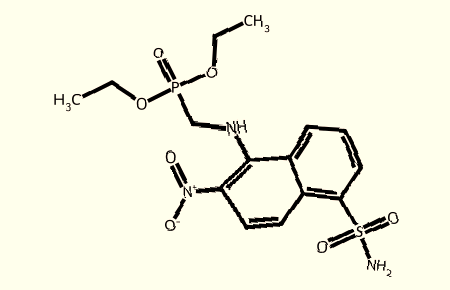 CCOP(=O)(CNc1c([N+](=O)[O-])ccc2c(S(N)(=O)=O)cccc12)OCC